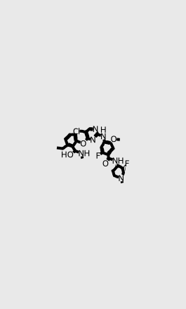 CCc1cccc(Oc2nc(Nc3cc(F)c(C(=O)N[C@H]4CCN(C)C[C@H]4F)cc3OC)ncc2Cl)c1C(O)NC